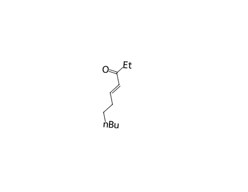 CCCCCCC=CC(=O)CC